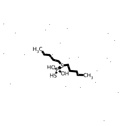 CCCCCS(CCCCC)=P(O)(O)S